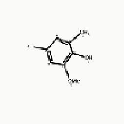 COc1cc(I)cc(C)c1O